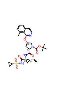 C=C[C@@H]1C[C@]1(NC(=O)[C@@H]1C[C@@H](Oc2nccc3cccc(C)c23)CN1C(=O)OC(C)(C)C)C(=O)NS(=O)(=O)C1CC1